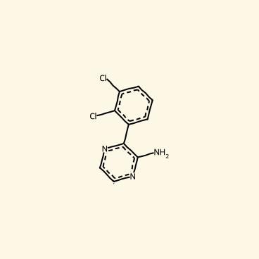 Nc1n[c]cnc1-c1cccc(Cl)c1Cl